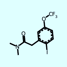 CN(C)C(=O)Cc1cc(OC(F)(F)F)ccc1I